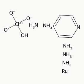 N.N.N.N.N.[O-][Cl+3]([O-])([O-])O.[Ru].c1ccncc1